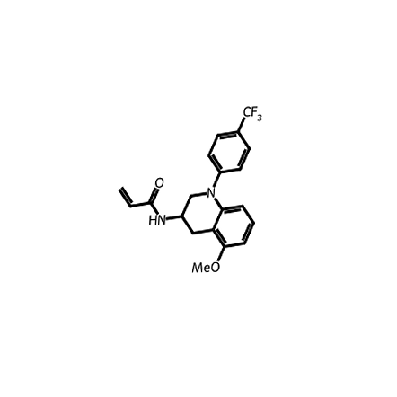 C=CC(=O)NC1Cc2c(OC)cccc2N(c2ccc(C(F)(F)F)cc2)C1